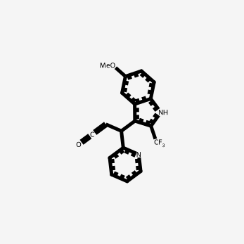 COc1ccc2[nH]c(C(F)(F)F)c(C(C=C=O)c3ccccn3)c2c1